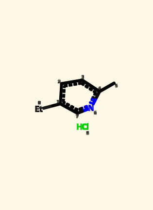 CCc1ccc(C)nc1.Cl